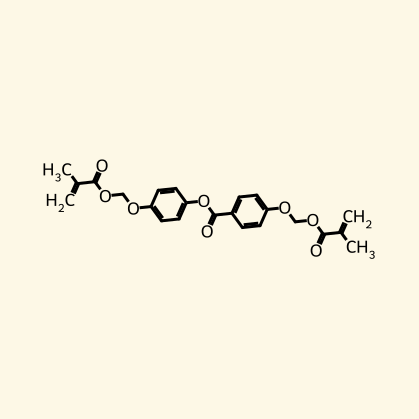 C=C(C)C(=O)OCOc1ccc(OC(=O)c2ccc(OCOC(=O)C(=C)C)cc2)cc1